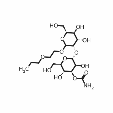 CCCOCCOC1O[C@@H](CO)[C@@H](O)[C@H](O)[C@@H]1O[C@H]1O[C@H](CO)[C@@H](O)[C@H](OC(N)=O)[C@@H]1O